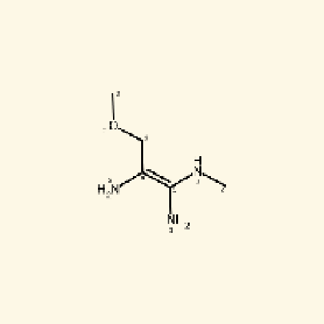 CN/C(N)=C(/N)COC